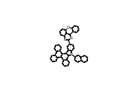 c1ccc2c(c1)Oc1cccc3nc(-c4ccc5c(c4)c4c6c7ccccc7c7ccccc7c6c6ccccc6c4n5-c4ccc5ccccc5c4)nc-2c13